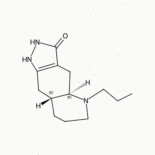 CCCN1CCC[C@@H]2Cc3[nH][nH]c(=O)c3C[C@H]21